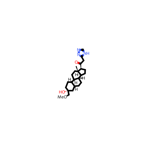 COC[C@@]1(O)CC[C@H]2[C@H](CC[C@@H]3[C@@H]2CC[C@]2(C)[C@@H](C(=O)Cc4nnc[nH]4)CC[C@@H]32)C1